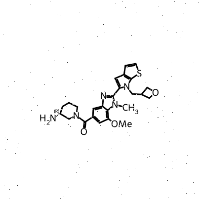 COc1cc(C(=O)N2CCC[C@@H](N)C2)cc2nc(-c3cc4ccsc4n3CC3COC3)n(C)c12